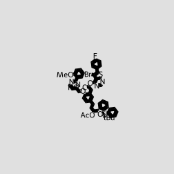 COc1ccccc1-c1nccc(COc2ccc(CCC(CO[Si](c3ccccc3)(c3ccccc3)C(C)(C)C)OC(C)=O)cc2CC(Oc2ncnc3sc(-c4ccc(F)cc4)c(Br)c23)C(=O)O)n1